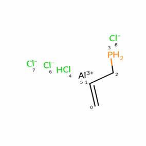 C=CCP.Cl.[Al+3].[Cl-].[Cl-].[Cl-]